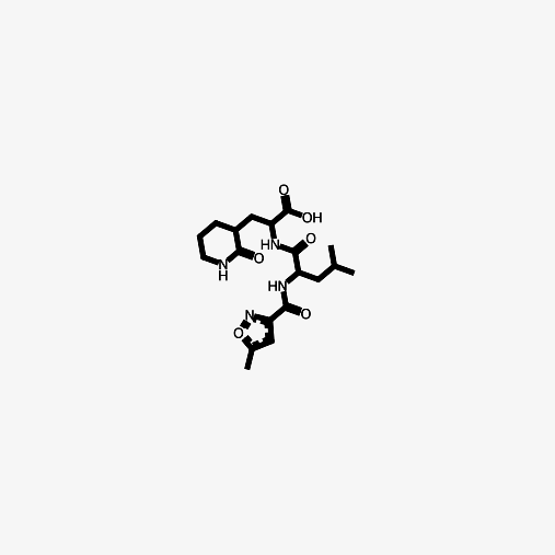 Cc1cc(C(=O)NC(CC(C)C)C(=O)NC(CC2CCCNC2=O)C(=O)O)no1